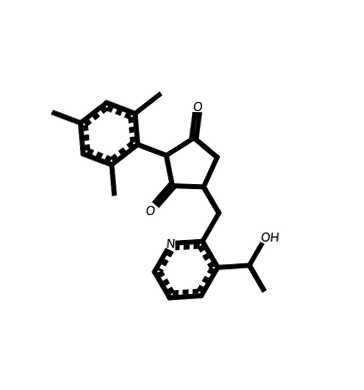 Cc1cc(C)c(C2C(=O)CC(Cc3ncccc3C(C)O)C2=O)c(C)c1